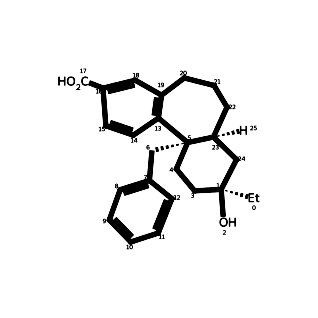 CC[C@]1(O)CC[C@@]2(Cc3ccccc3)c3ccc(C(=O)O)cc3CCC[C@H]2C1